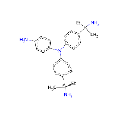 CCC(C)(N)c1ccc(N(c2ccc(N)cc2)c2ccc([C@@](C)(N)CC)cc2)cc1